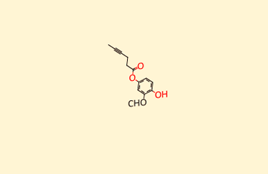 CC#CCCC(=O)Oc1ccc(O)c(C=O)c1